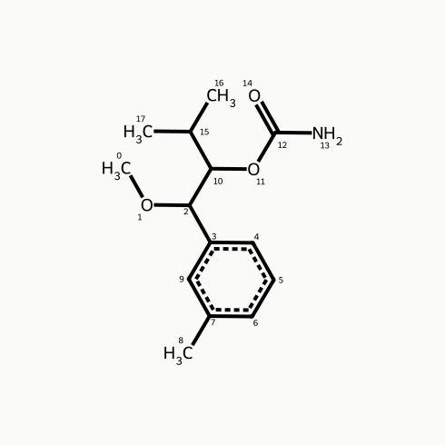 COC(c1cccc(C)c1)C(OC(N)=O)C(C)C